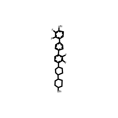 CCCc1ccc(-c2ccc(-c3ccc(C4CCC(C5CCC(CCC)CC5)CC4)c(F)c3F)cc2)c(F)c1F